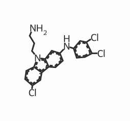 NCCCn1c2ccc(Cl)cc2c2ccc(Nc3ccc(Cl)c(Cl)c3)cc21